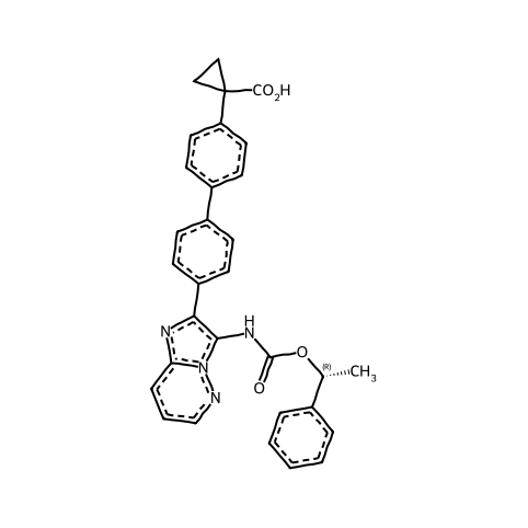 C[C@@H](OC(=O)Nc1c(-c2ccc(-c3ccc(C4(C(=O)O)CC4)cc3)cc2)nc2cccnn12)c1ccccc1